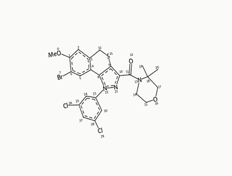 COc1cc2c(cc1Br)-c1c(c(C(=O)N3CCOCC3(C)C)nn1-c1cc(Cl)cc(Cl)c1)SC2